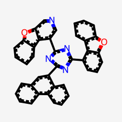 c1ccc2c(c1)cc(-c1nc(-c3cccc4oc5ccccc5c34)nc(-c3cncc4oc5ccccc5c34)n1)c1ccccc12